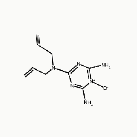 C=CCN(CC=C)c1nc(N)[n+]([O-])c(N)n1